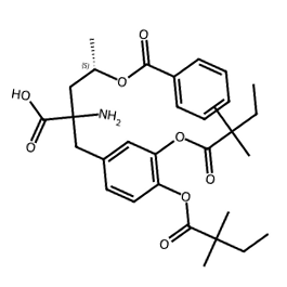 CCC(C)(C)C(=O)Oc1ccc(CC(N)(C[C@H](C)OC(=O)c2ccccc2)C(=O)O)cc1OC(=O)C(C)(C)CC